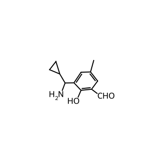 Cc1cc(C=O)c(O)c(C(N)C2CC2)c1